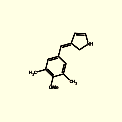 COc1c(C)cc(C=C2C=CNC2)cc1C